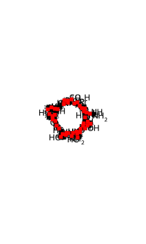 CC(C)C[C@@H]1NC(=O)[C@H](CCC(=O)O)NC(=O)[C@H](CC(C)C)NC(=O)[C@@H]2CCCN2C(=O)[C@H](CCCNC(=N)N)NC(=O)[C@H](Cc2ccc(O)cc2)NC(=O)[C@@H]2CCCN2C(=O)[C@H](Cc2ccc(O)cc2)NC(=O)[C@H](CC(N)=O)NC(=O)[C@@H](Cc2ccc(O)cc2)NC(=O)CSC[C@@H](I)NC(=O)[C@H](Cc2ccc(O)cc2)NC(=O)[C@H](Cc2c[nH]c3ccccc23)NC(=O)CNC1=O